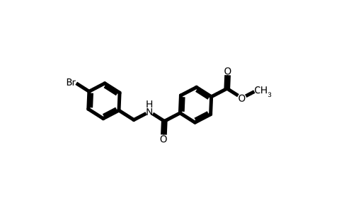 COC(=O)c1ccc(C(=O)NCc2ccc(Br)cc2)cc1